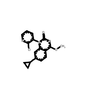 COc1nc(=O)n(-c2cccnc2Cl)c2cc(C3CC3)ccc12